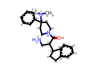 CN(C)C1(c2ccccc2)CCN(C(=O)C(CN)C2CCc3ccccc32)CC1